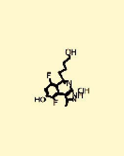 Cc1n[nH]c2nc(CCCCO)c3c(F)cc(O)c(F)c3c12.Cl